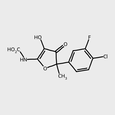 CC1(c2ccc(Cl)c(F)c2)OC(NC(=O)O)=C(O)C1=O